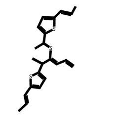 C=C/C=C(\SC(C)c1ccc(/C=C/C)s1)C(C)c1ccc(/C=C/C)s1